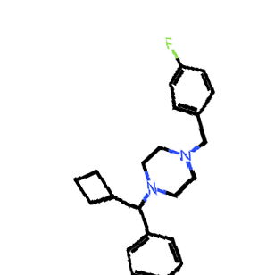 Fc1ccc(CN2CCN(C(c3ccccc3)C3CCC3)CC2)cc1